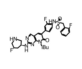 CCC(C)n1c(=O)c(-c2ccc(NS(=O)(=O)Cc3ccccc3F)c(F)c2)cc2cnc(N[C@@H]3CNC[C@@H](F)C3)nc21